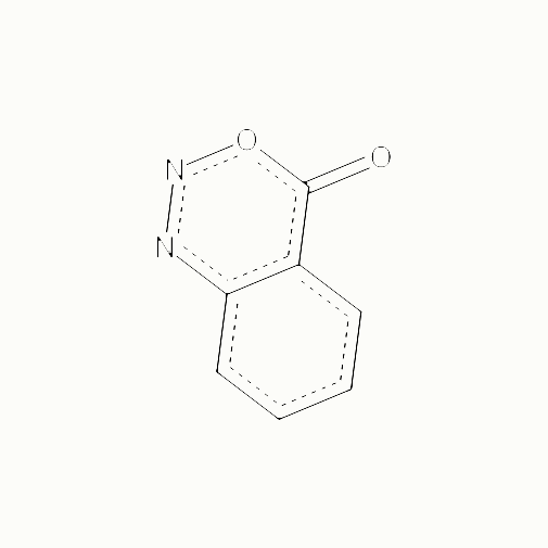 O=c1onnc2ccccc12